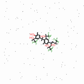 Cc1cc(C(C)(C)c2c(C)cc(/C(=C/C(C)(O)C(F)(F)F)CC(C)(O)C(F)(F)F)cc2C(C)(O)C(F)(F)F)cc(C(C)(O)C(F)(F)F)c1O